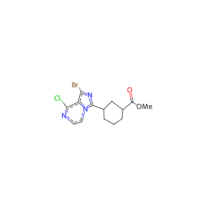 COC(=O)C1CCCC(c2nc(Br)c3c(Cl)nccn23)C1